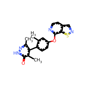 Cc1cc(Oc2nccc3cnsc23)ccc1-c1c(C)n[nH]c(=O)c1C